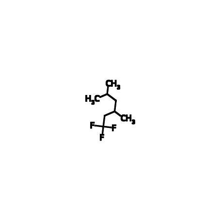 CC(C)CC(C)CC(F)(F)F